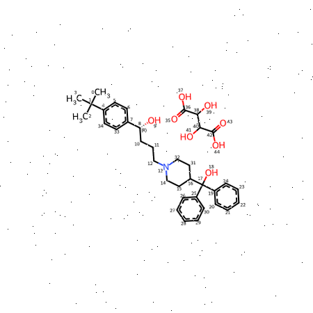 CC(C)(C)c1ccc([C@H](O)CCCN2CCC(C(O)(c3ccccc3)c3ccccc3)CC2)cc1.O=C(O)C(O)C(O)C(=O)O